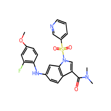 COc1ccc(Nc2ccc3c(C(=O)N(C)C)cn(S(=O)(=O)c4cccnc4)c3c2)c(F)c1